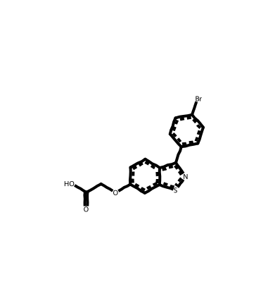 O=C(O)COc1ccc2c(-c3ccc(Br)cc3)nsc2c1